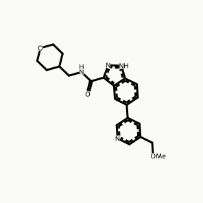 COCc1cncc(-c2ccc3[nH]nc(C(=O)NCC4CCOCC4)c3c2)c1